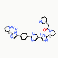 O=C(Cc1cccnc1)N1CCC[C@H]1c1ncc(-c2cnc(-c3ccc(-c4cnc([C@@H]5CCCN5)[nH]4)cc3)nc2)[nH]1